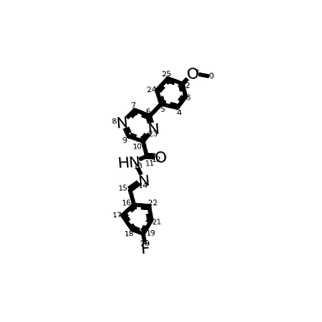 COc1ccc(-c2cncc(C(=O)NN=Cc3ccc(F)cc3)n2)cc1